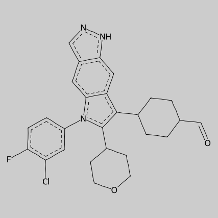 O=CC1CCC(c2c(C3CCOCC3)n(-c3ccc(F)c(Cl)c3)c3cc4cn[nH]c4cc23)CC1